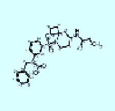 C=CC(=O)NC1CCN(S(=O)(=O)c2cccc(N(Cc3ccccc3)C(=O)O)c2)C2(CCC2)C1